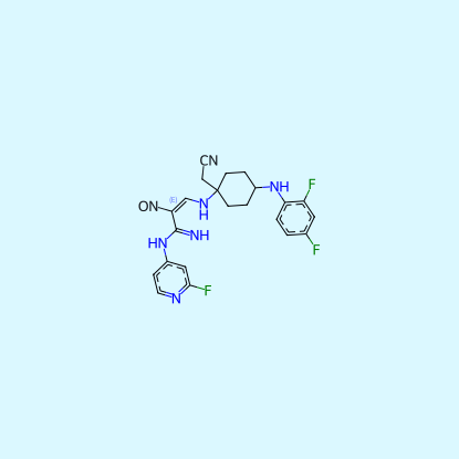 N#CCC1(N/C=C(/N=O)C(=N)Nc2ccnc(F)c2)CCC(Nc2ccc(F)cc2F)CC1